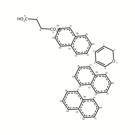 C1=CCOC=C1.O=C(O)CCC(=O)O.c1ccc2ccccc2c1.c1ccc2ccccc2c1.c1ccc2ccccc2c1